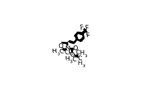 CC(C)(C)OC(=O)N1[C@H](/C=C/c2ccc(C(F)(F)F)cc2)COC1(C)C